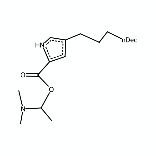 CCCCCCCCCCCCCc1c[nH]c(C(=O)OC(C)N(C)C)c1